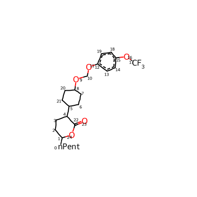 CCCCCC1CCC(C2CCC(OCOc3ccc(OC(F)(F)F)cc3)CC2)C(=O)O1